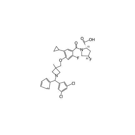 CC1(COc2cc(F)c(C(=O)N3C[C@H](F)C[C@H]3C(=O)O)cc2C2CC2)CN(C(c2ccccc2)c2cc(Cl)cc(Cl)c2)C1